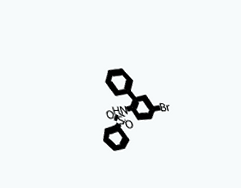 O=S(=O)(Nc1ccc(Br)cc1-c1ccccc1)c1ccccc1